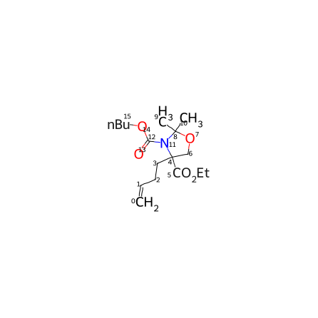 C=CCCC1(C(=O)OCC)COC(C)(C)N1C(=O)OCCCC